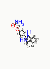 NC(=O)COc1ccc(C2NC3=CCCc4cccc(c43)N2)cc1